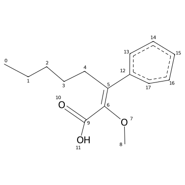 CCCCCC(=C(OC)C(=O)O)c1ccccc1